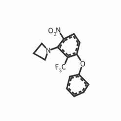 O=[N+]([O-])c1ccc(Oc2ccccc2)c(C(F)(F)F)c1N1CCC1